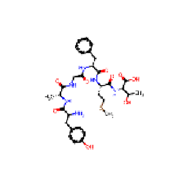 CSCC[C@H](NC(=O)[C@H](Cc1ccccc1)NC(=O)CNC(=O)[C@@H](C)NC(=O)[C@@H](N)Cc1ccc(O)cc1)C(=O)N[C@H](C(=O)O)[C@@H](C)O